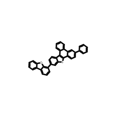 c1ccc(-c2ccc3c(c2)c2ccccc2c2c4ccc(-c5cccc6c5oc5ccccc56)cc4sc32)cc1